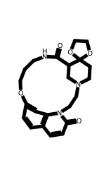 O=C1NCCCOc2ccc3ccc(=O)n(c3c2)CCN2CCC3(OCCO3)C1C2